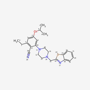 CCc1cc(OC(C)C)cc(N2CCN(Cc3nc4ccccc4s3)CC2)c1C#N